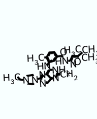 C=C/N=C1/C=NC(N2CCN(CC)CC2)=N/C1=C(/N)Nc1cc(C(=O)Nc2cc(C(C)(C)C)on2)ccc1C